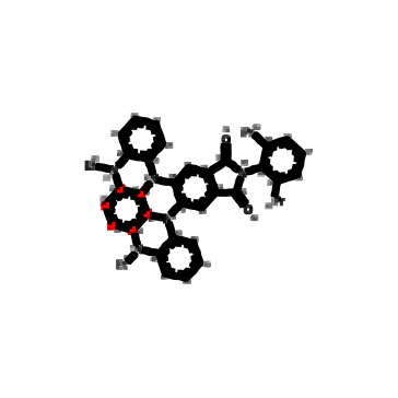 CCN1c2ccccc2N(c2cc3c(cc2N2c4ccccc4N(CC)c4ccccc42)C(=O)N(c2c(C(C)C)cccc2C(C)C)C3=O)c2ccccc21